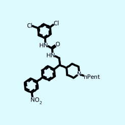 CCCCCN1CCC(C(CNC(=O)Nc2cc(Cl)cc(Cl)c2)c2ccc(-c3cccc([N+](=O)[O-])c3)cc2)CC1